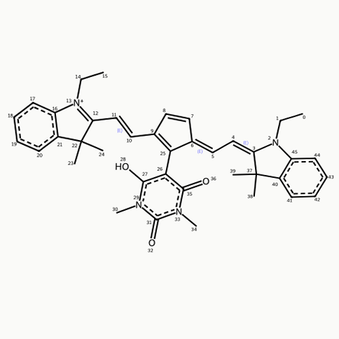 CCN1/C(=C/C=C2\C=CC(/C=C/C3=[N+](CC)c4ccccc4C3(C)C)=C2c2c(O)n(C)c(=O)n(C)c2=O)C(C)(C)c2ccccc21